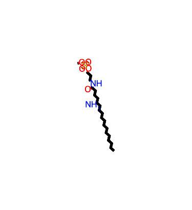 CCCCCCCCCCCCCCCCCC(=O)NCCCOS(=O)(=O)OC.N